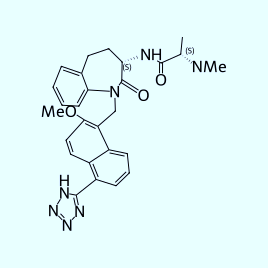 CN[C@@H](C)C(=O)N[C@H]1CCc2ccccc2N(Cc2c(OC)ccc3c(-c4nnn[nH]4)cccc23)C1=O